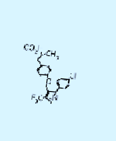 CC(Cc1ccc(OCc2c(-c3ccc(Cl)cc3)nsc2C(F)(F)F)cc1)C(=O)O